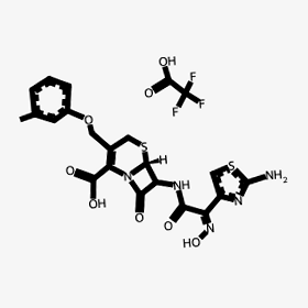 Cc1cccc(OCC2=C(C(=O)O)N3C(=O)C(NC(=O)/C(=N\O)c4csc(N)n4)[C@H]3SC2)c1.O=C(O)C(F)(F)F